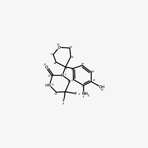 Nc1cc(C2(N3CC(F)(F)CNC3=O)CCOCC2)ccc1O